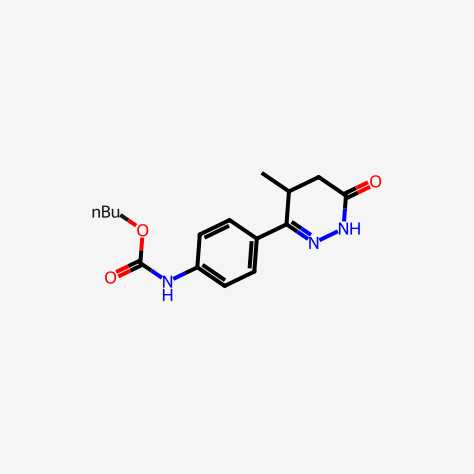 CCCCOC(=O)Nc1ccc(C2=NNC(=O)CC2C)cc1